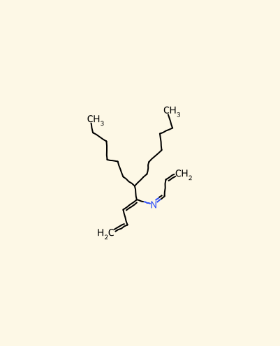 C=C/C=N\C(=C/C=C)C(CCCCCC)CCCCCC